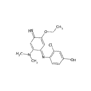 CCOC1=CC(=Nc2ccc(O)cc2Cl)C(N(C)C)=CC1=N